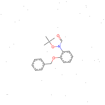 CC(C)(C)ON(C=O)c1ccccc1OCc1ccccc1